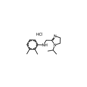 Cc1cccc(NCC2=NCCN2C(C)C)c1C.Cl